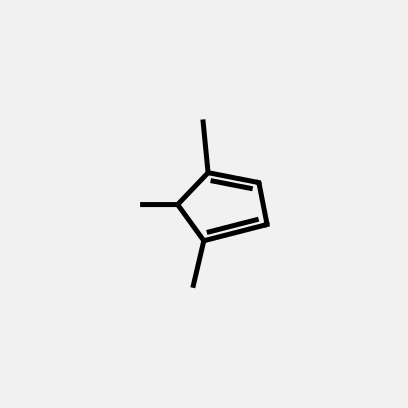 CC1=CC=C(C)C1C